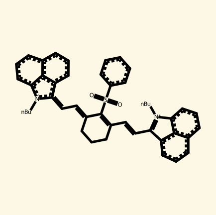 CCCCn1/c(=C/C=C2\CCCC(/C=C/C3=[N+](CCCC)c4cccc5cccc3c45)=C2S(=O)(=O)c2ccccc2)c2cccc3cccc1c32